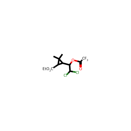 CCOC(=O)C1C(C(OC(=O)C(F)(F)F)C(Cl)Cl)C1(C)C